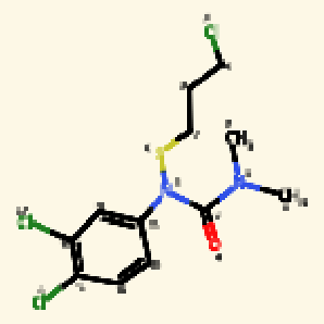 CN(C)C(=O)N(SCCCCl)c1ccc(Cl)c(Cl)c1